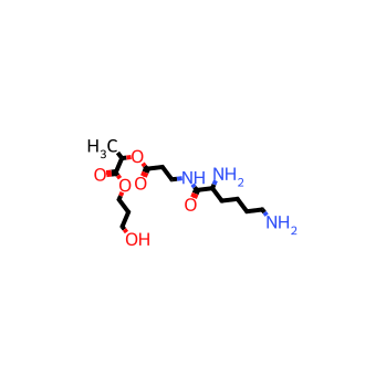 CC(OC(=O)CCNC(=O)C(N)CCCCN)C(=O)OCCCO